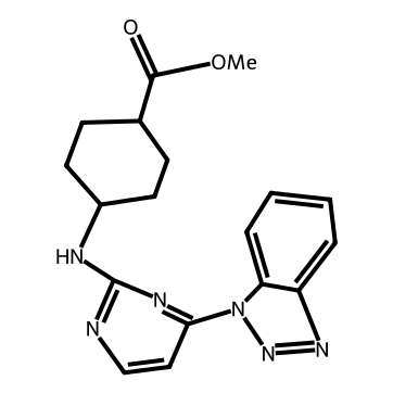 COC(=O)C1CCC(Nc2nccc(-n3nnc4ccccc43)n2)CC1